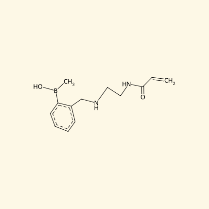 C=CC(=O)NCCNCc1ccccc1B(C)O